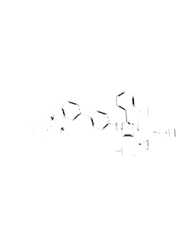 CC1(c2cn(-c3ccc(-c4cccc(S(C)(=O)=O)c4)cc3)c(-c3ccccc3Cl)n2)C[C@H]1CO